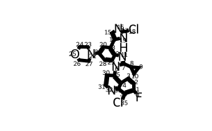 Fc1ccc2c(-n3c(C4CC4)nc4c(-c5cnc(Cl)[nH]5)cc(N5CCOCC5)cc43)ccnc2c1Cl